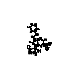 Cc1c(C(O)C(N)=O)c2cc([N+](=O)[O-])ccc2n1CCc1ccccc1